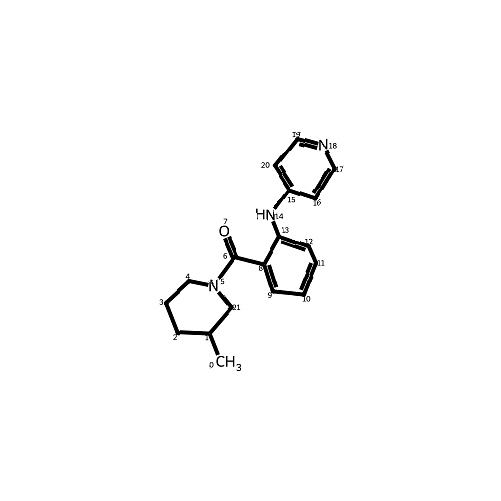 CC1CCCN(C(=O)c2ccccc2Nc2ccncc2)C1